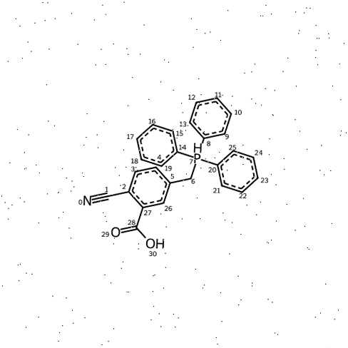 N#Cc1ccc(C[PH](c2ccccc2)(c2ccccc2)c2ccccc2)cc1C(=O)O